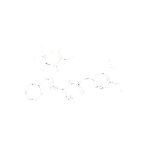 CCC(CC)N(C[C@@H](CC1CCCCC1)NC(N)=NC(=O)Cc1ccc(OC)c(OC)c1)C(=O)C(F)(F)F